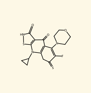 O=c1[nH]sc2c1c(=O)c1c(n2C2CC2)CC(=S)C(F)=C1N1CCOCC1